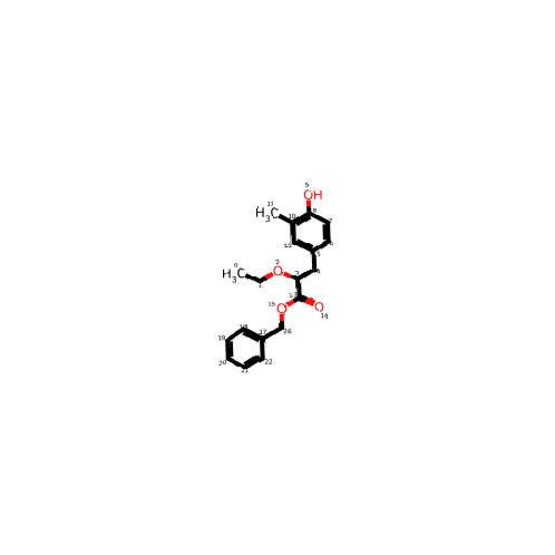 CCOC(Cc1ccc(O)c(C)c1)C(=O)OCc1ccccc1